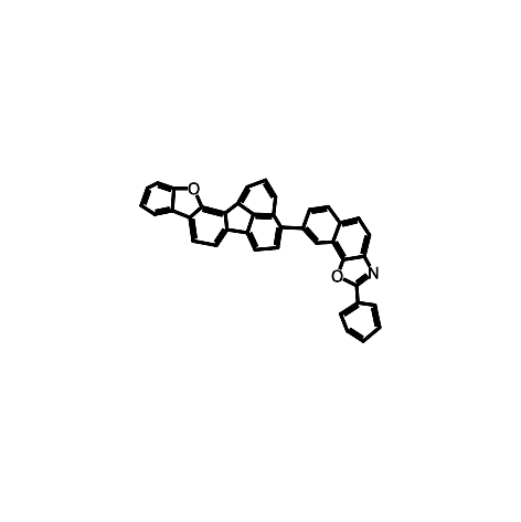 c1ccc(-c2nc3ccc4ccc(-c5ccc6c7c(cccc57)-c5c-6ccc6c5oc5ccccc56)cc4c3o2)cc1